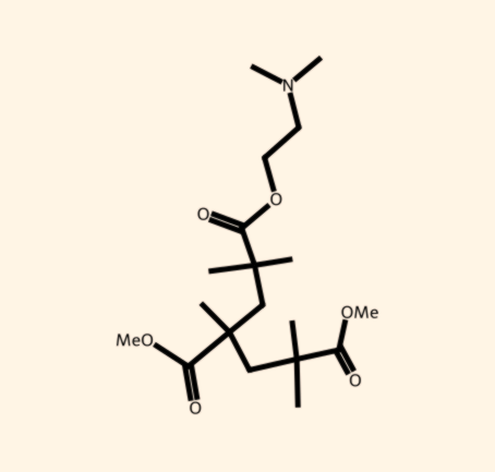 COC(=O)C(C)(C)CC(C)(CC(C)(C)C(=O)OCCN(C)C)C(=O)OC